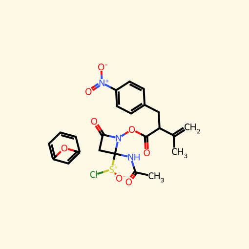 C=C(C)C(Cc1ccc([N+](=O)[O-])cc1)C(=O)ON1C(=O)CC1(NC(C)=O)[S+]([O-])Cl.c1cc2cc(c1)O2